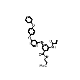 C=CC(=O)Nc1cc(Nc2cc(Oc3ccc(Oc4ccccc4)cc3)ncn2)cc(C(=O)NCCOC)c1